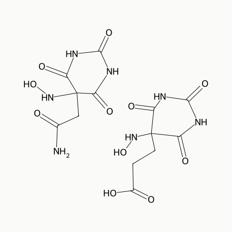 NC(=O)CC1(NO)C(=O)NC(=O)NC1=O.O=C(O)CCC1(NO)C(=O)NC(=O)NC1=O